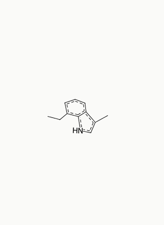 CCc1cccc2c(C)c[nH]c12